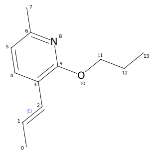 C/C=C/c1ccc(C)nc1OCCC